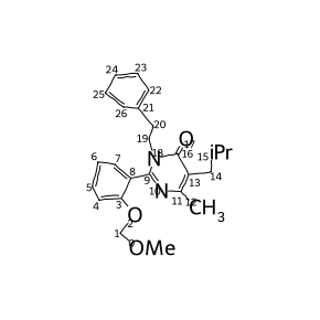 COCOc1ccccc1-c1nc(C)c(CC(C)C)c(=O)n1CCc1ccccc1